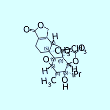 CC(C)[C@]1(O)[C@H](C)[C@@H]2O[C@]23[C@@]2(OC(=O)O[C@H]12)[C@H](C)C[C@H]1C2=C(CC[C@@]13C)C(=O)OC2